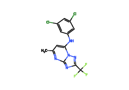 Cc1cc(Nc2cc(Cl)cc(Cl)c2)n2nc(C(F)(F)F)nc2n1